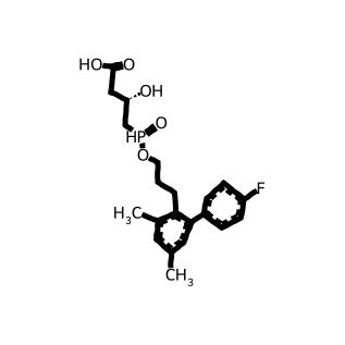 Cc1cc(C)c(CCCO[PH](=O)C[C@@H](O)CC(=O)O)c(-c2ccc(F)cc2)c1